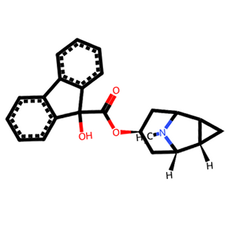 CN1C2C[C@H](OC(=O)C3(O)c4ccccc4-c4ccccc43)C[C@H]1[C@H]1CC21